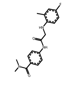 Cc1cc(F)ccc1NCC(=O)Nc1ccc(C(=O)N(C)C)cc1